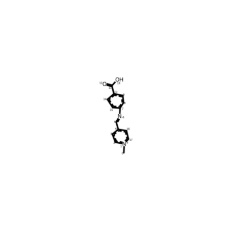 C[n+]1ccc(C=Nc2ccc(C(=O)O)cc2)cc1